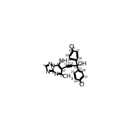 Cc1nc2ncnn2c(N)c1C#CC(O)(c1ccc(Cl)cc1)c1ccc(Cl)cc1